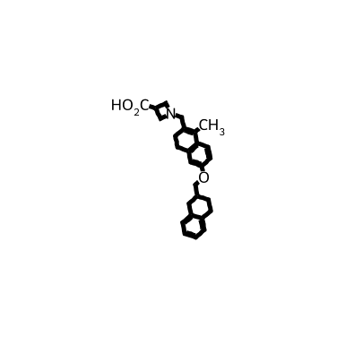 CC1=C(CN2CC(C(=O)O)C2)CCc2cc(OCC3CCc4ccccc4C3)ccc21